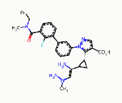 CC(C)CN(C)C(=O)c1cccc(-c2cccc(-n3ncc(C(=O)O)c3[C@@H]3CC3/C(N)=C/N(C)N)c2)c1F